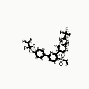 CCS(=O)(=O)c1ccc(-c2ccc(OC(F)(F)C(F)F)cc2)nc1-c1cnc2nc(C(F)(F)F)nn2c1